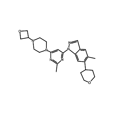 Cc1nc(N2CCN(C3COC3)CC2)cc(-n2ncc3cc(C)c(C4CCOCC4)cc32)n1